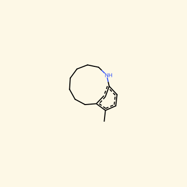 Cc1ccc2cc1CCCCCCCN2